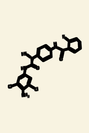 Nc1c(Cl)cc(NC(=O)N(S)c2ccc(NC(=O)c3ccccc3F)cc2)cc1Cl